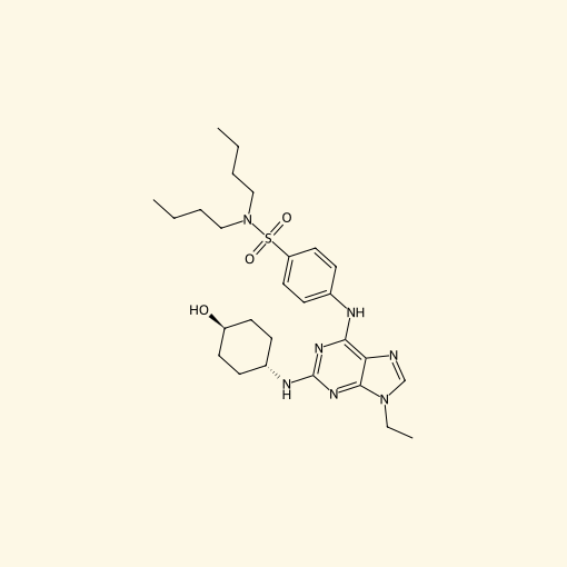 CCCCN(CCCC)S(=O)(=O)c1ccc(Nc2nc(N[C@H]3CC[C@H](O)CC3)nc3c2ncn3CC)cc1